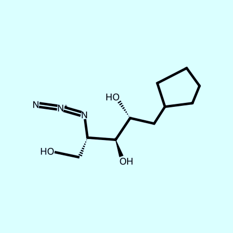 [N-]=[N+]=N[C@@H](CO)[C@H](O)[C@H](O)CC1CCCC1